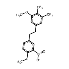 COc1ccc(CCc2cc(C)c(C)c(OC)c2)cc1[N+](=O)[O-]